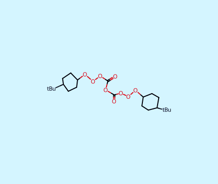 CC(C)(C)C1CCC(OOOC(=O)OC(=O)OOOC2CCC(C(C)(C)C)CC2)CC1